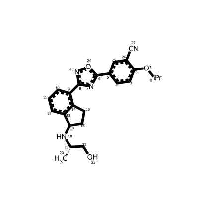 CC(C)Oc1ccc(-c2nc(-c3cccc4c3CCC4N[C@@H](C)CO)no2)cc1C#N